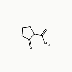 C=C(N)N1CCCC1=O